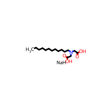 CCCCCCCCCCCCN(CC(=O)O)CC(=O)O.[NaH]